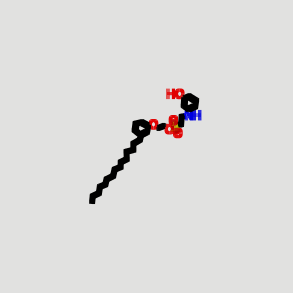 CCCCCCCCCCCCCCCc1cccc(OCCOS(=O)(=O)CCNc2cccc(O)c2)c1